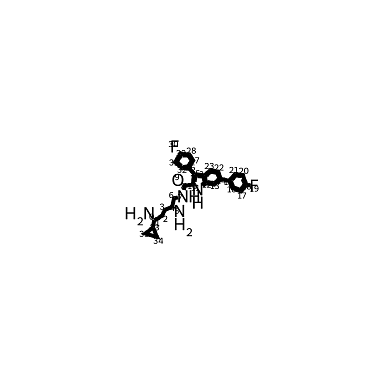 NC(CC[C@H](N)CNC(=O)c1[nH]c2cc(-c3ccc(F)cc3)ccc2c1-c1ccc(F)cc1)C1CC1